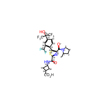 CC1CCCN1C(=O)c1nc(C(=O)NC2CC(C(=O)O)C2)sc1-c1ccc(C(O)(C(F)(F)F)C(F)(F)F)cc1C(F)F